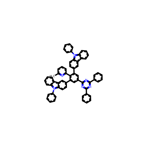 Cc1cccc(-c2c(-c3ccc4c(c3)c3ccccc3n4-c3ccccc3)cc(-c3nc(-c4ccccc4)nc(-c4ccccc4)n3)cc2-c2ccc3c(c2)c2ccccc2n3-c2ccccc2)n1